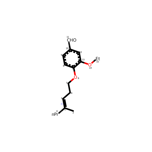 CCC/C(C)=C/CCOc1ccc(C=O)cc1OCC